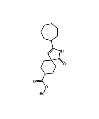 CC(C)(C)OC(=O)N1CCC2(CC1)N=C(C1CCCCCC1)NC2=O